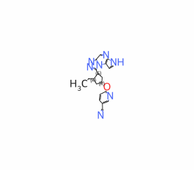 CC[C@@H]1C[C@@H](Oc2ccc(C#N)cn2)C[C@@H]1c1nnc2cnc3[nH]ccc3n12